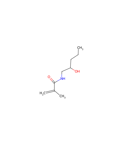 C=C(C)C(=O)NCC(O)CCC